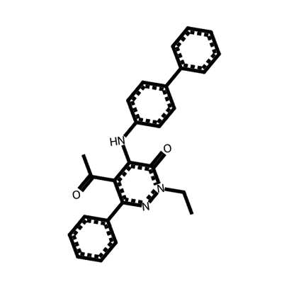 CCn1nc(-c2ccccc2)c(C(C)=O)c(Nc2ccc(-c3ccccc3)cc2)c1=O